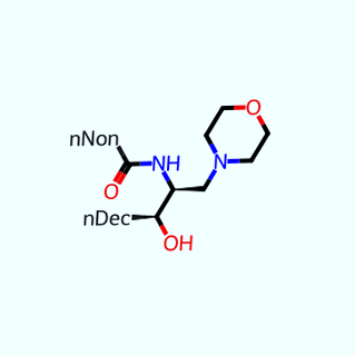 CCCCCCCCCC[C@H](O)[C@H](CN1CCOCC1)NC(=O)CCCCCCCCC